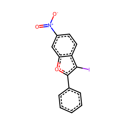 O=[N+]([O-])c1ccc2c(I)c(-c3ccccc3)oc2c1